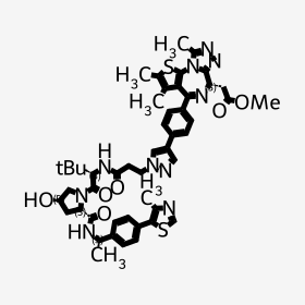 COC(=O)C[C@@H]1N=C(c2ccc(-c3cnn(CCC(=O)N[C@H](C(=O)N4C[C@H](O)C[C@H]4C(=O)N[C@@H](C)c4ccc(-c5scnc5C)cc4)C(C)(C)C)c3)cc2)c2c(sc(C)c2C)-n2c(C)nnc21